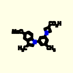 COc1ccc2c(c1)c(C)cn2-c1cc(C)cc(N2CC(C(=O)O)C2)c1